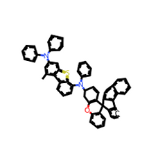 Cc1cc(N(c2ccccc2)c2ccccc2)cc2sc3c(N(c4ccccc4)C4C=CC5=C(C4)Oc4ccccc4C54c5ccccc5-c5c4ccc4ccccc54)cccc3c12